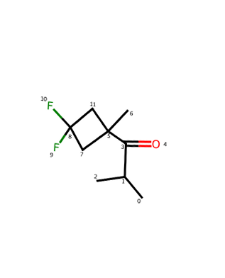 CC(C)C(=O)C1(C)CC(F)(F)C1